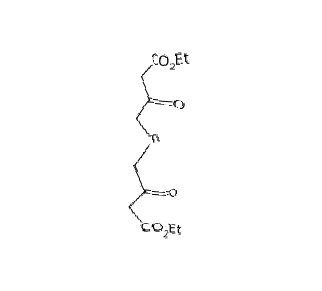 CCOC(=O)CC(=O)[CH2][Ti][CH2]C(=O)CC(=O)OCC